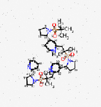 CC(C)(C)S(=O)(=O)N1CCC[C@H]1c1ccnc(CC(C)(C)S(=O)(=O)N2CCCC2c2ccnc(CC(C)(C)S(=O)(=O)N3CCC[C@@H]3c3ccccn3)c2)c1